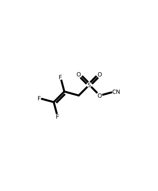 N#COS(=O)(=O)CC(F)=C(F)F